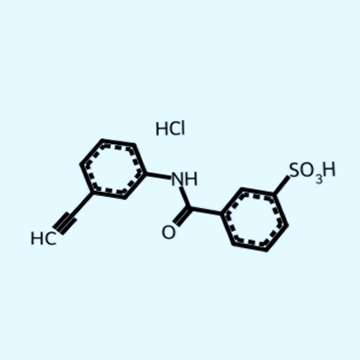 C#Cc1cccc(NC(=O)c2cccc(S(=O)(=O)O)c2)c1.Cl